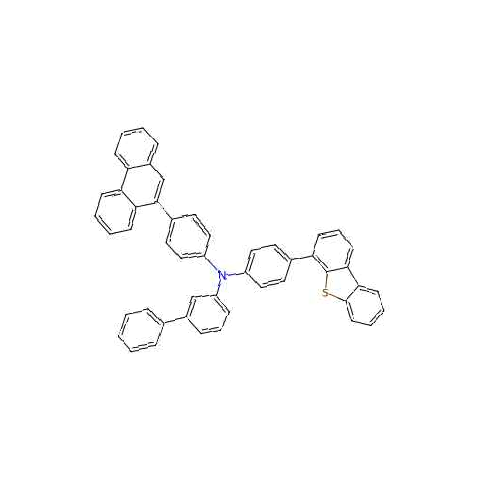 c1ccc(-c2cccc(N(c3ccc(-c4cc5ccccc5c5ccccc45)cc3)c3ccc(-c4cccc5c4sc4ccccc45)cc3)c2)cc1